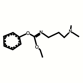 CCOC(=NCCCN(C)C)Oc1ccccc1